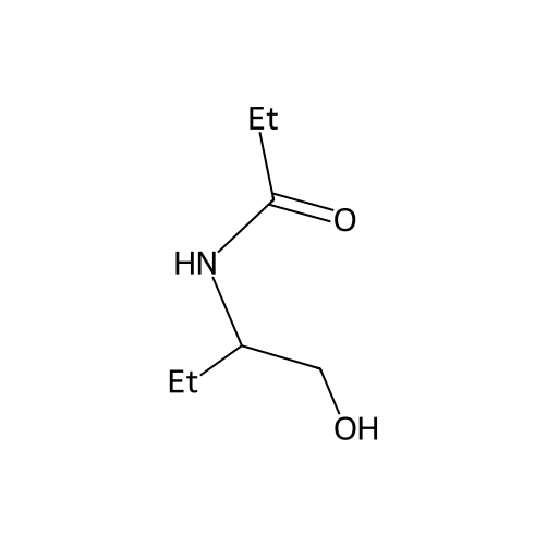 CCC(=O)NC(CC)CO